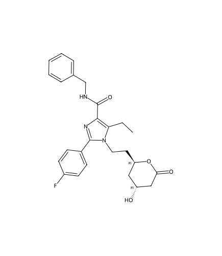 CCc1c(C(=O)NCc2ccccc2)nc(-c2ccc(F)cc2)n1CC[C@@H]1C[C@@H](O)CC(=O)O1